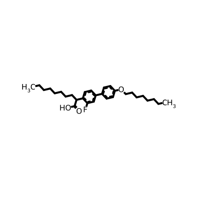 CCCCCCCCOc1ccc(-c2ccc(C(CCCCCCCC)C(=O)O)c(F)c2)cc1